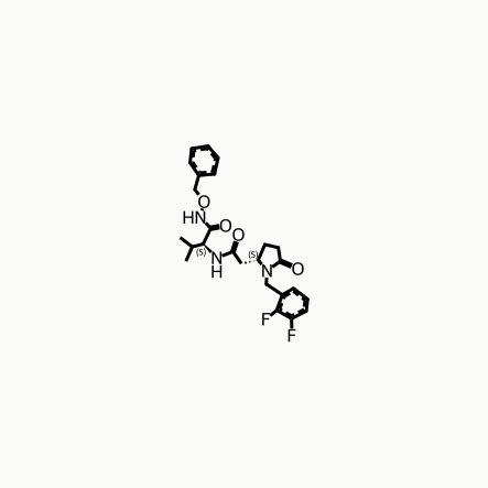 CC(C)[C@H](NC(=O)C[C@@H]1CCC(=O)N1Cc1cccc(F)c1F)C(=O)NOCc1ccccc1